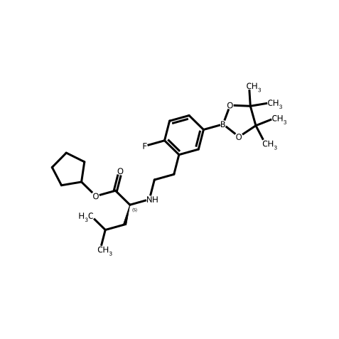 CC(C)C[C@H](NCCc1cc(B2OC(C)(C)C(C)(C)O2)ccc1F)C(=O)OC1CCCC1